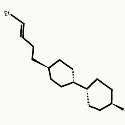 CC/C=C/CC[C@H]1CC[C@H]([C@H]2CC[C@H](C#N)CC2)CC1